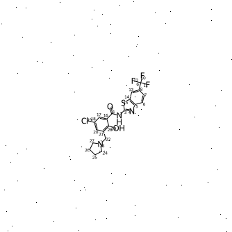 O=C(Nc1nc2ccc(C(F)(F)F)cc2s1)c1cc(Cl)cc(CN2CCCC2)c1O